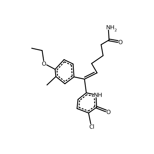 CCOc1ccc(/C(=C\CCCC(N)=O)c2ccc(Cl)c(=O)[nH]2)cc1C